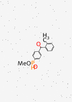 CO[PH](=O)c1ccc(C(=O)c2ccccc2C)cc1